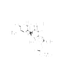 COC(=O)CC[C@@H](C)[C@H]1CC[C@H]2[C@@H]3[C@H](O)C[C@@H]4CC(=O)C(C#N)=C[C@]4(C)[C@H]3C[C@H](O)[C@]12C